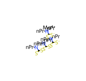 CCCN(CCC)C(=S)[S-].CCCN(CCC)C(=S)[S-].CCCN(CCC)C(=S)[S-].CCCN(CCC)C(=S)[S-].[Mo+4]